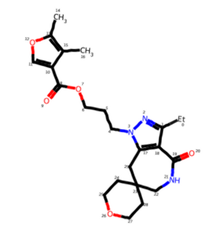 CCc1nn(CCCOC(=O)c2coc(C)c2C)c2c1C(=O)NCC1(CCOCC1)C2